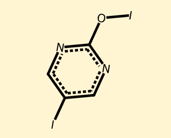 IOc1ncc(I)cn1